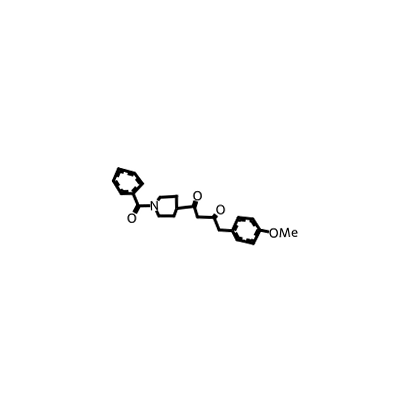 COc1ccc(CC(=O)CC(=O)C2CCN(C(=O)c3ccccc3)CC2)cc1